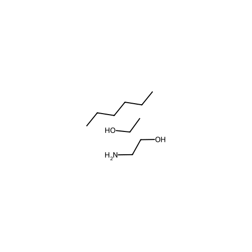 CCCCCC.CCO.NCCO